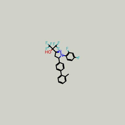 Cc1ccccc1-c1ccc(C2CC(C(O)(C(F)(F)F)C(F)(F)F)=NN2c2ccc(F)cc2F)cc1